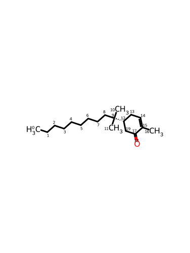 CCCCCCCCCC(C)(C)[C@@H]1CC=C(C)C(=O)C1